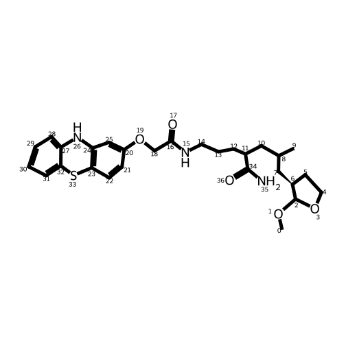 COC1OCC[C@@H]1CC(C)CC(CCCNC(=O)COc1ccc2c(c1)Nc1ccccc1S2)C(N)=O